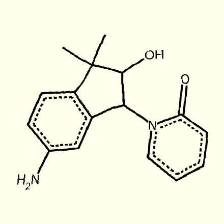 CC1(C)c2ccc(N)cc2C(n2ccccc2=O)C1O